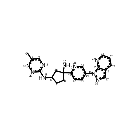 Cc1cnc(NC2CCC(N)(c3ccc(-n4ncc5cccnc54)cn3)C2)nn1